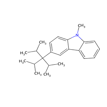 CC(C)C(c1ccc2c(c1)c1ccccc1n2C)(C(C)C)C(C)C